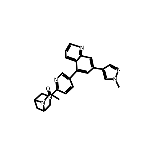 CC(=O)N1C2CC1CN(c1ccc(-c3cc(-c4cnn(C)c4)cc4ncccc34)cn1)C2